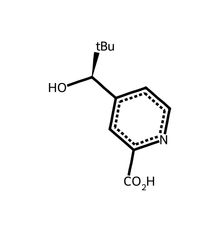 CC(C)(C)[C@H](O)c1ccnc(C(=O)O)c1